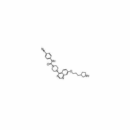 N#Cc1ccc(NC(=O)N2CCN(c3ncnc4cc(OCCCC5CCNC5)ccc34)CC2)cc1